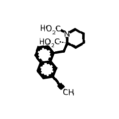 C#Cc1ccc2cccc(C[C@]3(C(=O)O)CCCCN3C(=O)O)c2c1